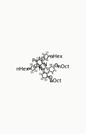 CCCCCCCCOc1cccc(-c2nc3c([SH]4C=CC(CCCCCC)=C4)cc(F)c([SH]4C=CC(CCCCCC)=C4)c3nc2-c2cccc(OCCCCCCCC)c2)c1